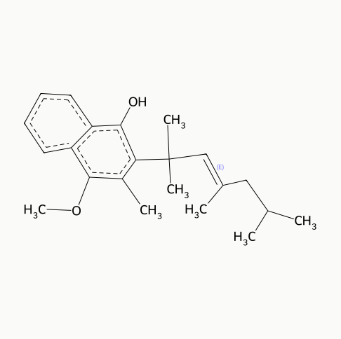 COc1c(C)c(C(C)(C)/C=C(\C)CC(C)C)c(O)c2ccccc12